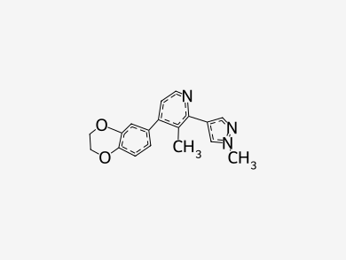 Cc1c(-c2ccc3c(c2)OCCO3)ccnc1-c1cnn(C)c1